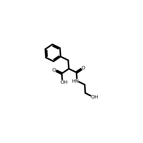 O=C(O)C(Cc1ccccc1)C(=O)NCCO